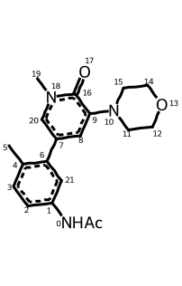 CC(=O)Nc1ccc(C)c(-c2cc(N3CCOCC3)c(=O)n(C)c2)c1